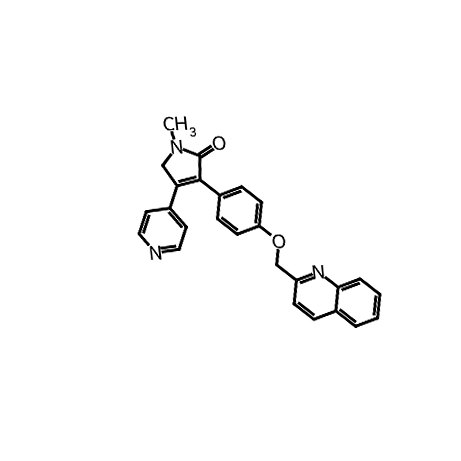 CN1CC(c2ccncc2)=C(c2ccc(OCc3ccc4ccccc4n3)cc2)C1=O